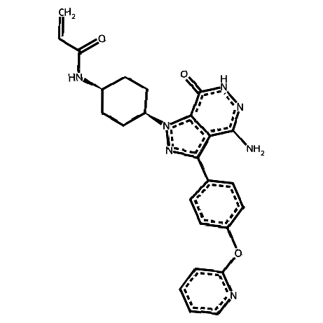 C=CC(=O)N[C@H]1CC[C@@H](n2nc(-c3ccc(Oc4ccccn4)cc3)c3c(N)n[nH]c(=O)c32)CC1